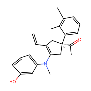 C=CC1=C(N(C)c2cccc(O)c2)C[C@](C(C)=O)(c2cccc(C)c2C)C1